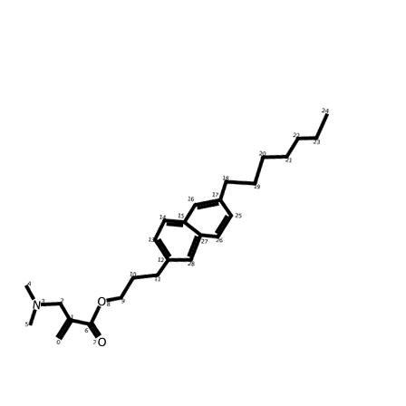 C=C(CN(C)C)C(=O)OCCCc1ccc2cc(CCCCCCC)ccc2c1